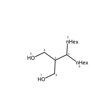 CCCCCCC(CCCCCC)C(CO)CO